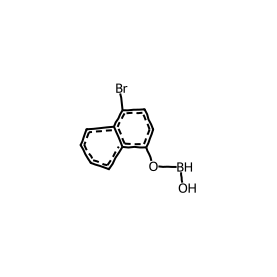 OBOc1ccc(Br)c2ccccc12